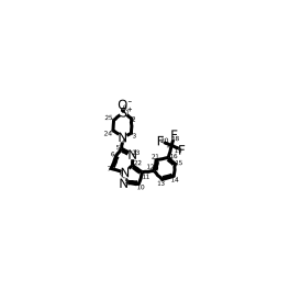 [O-][S+]1CCN(c2ccn3ncc(-c4cccc(C(F)(F)F)c4)c3n2)CC1